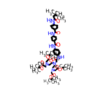 CC(C)(C)CC(=O)Nc1ccc(C(=O)Nc2ccc(C(=O)Nc3ccc(NC(=O)CN(CCN(CC(=O)OC(C)(C)C)CC(=O)OC(C)(C)C)CCN(CC(=O)OC(C)(C)C)CC(=O)OC(C)(C)C)cc3)cc2)cc1